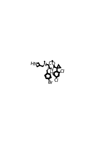 C=C=C([C@H](Cc1ccc(Br)cc1)NC(=O)C1(c2ccc(Cl)cc2Cl)CC1)N(C)CC1CNC1